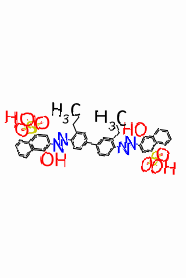 CCCc1cc(-c2ccc(/N=N/c3cc(S(=O)(=O)O)c4ccccc4c3O)c(CCC)c2)ccc1/N=N/c1cc(S(=O)(=O)O)c2ccccc2c1O